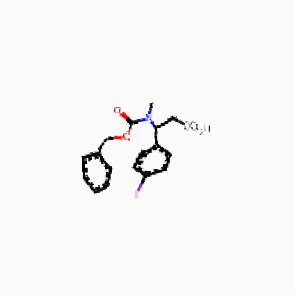 CN(C(=O)OCc1ccccc1)C(CC(=O)O)c1ccc(I)cc1